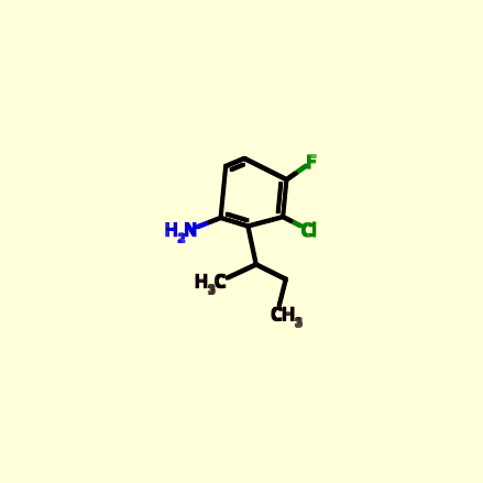 CCC(C)c1c(N)ccc(F)c1Cl